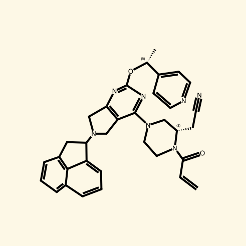 C=CC(=O)N1CCN(c2nc(O[C@H](C)c3ccncc3)nc3c2CN(C2Cc4cccc5cccc2c45)C3)C[C@@H]1CC#N